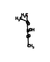 CCCCCCCCCCCOC(=O)CCCCCN(CCO)CCCCCCCC(=O)COC(CCCCCCCC)CCCCCCCC